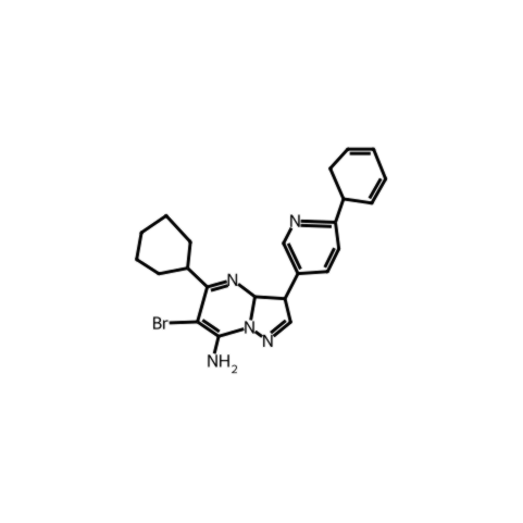 NC1=C(Br)C(C2CCCCC2)=NC2C(c3ccc(C4C=CC=CC4)nc3)C=NN12